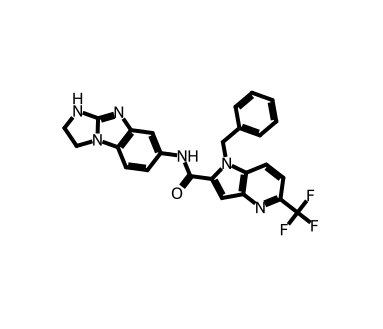 O=C(Nc1ccc2c(c1)nc1n2CCN1)c1cc2nc(C(F)(F)F)ccc2n1Cc1ccccc1